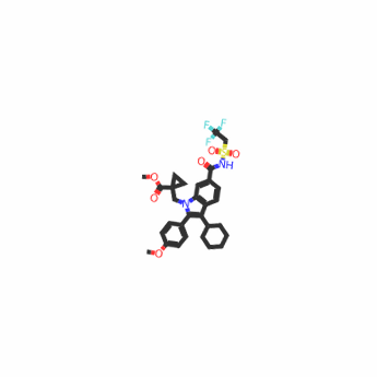 COC(=O)C1(Cn2c(-c3ccc(OC)cc3)c(C3CCCCC3)c3ccc(C(=O)NS(=O)(=O)CC(F)(F)F)cc32)CC1